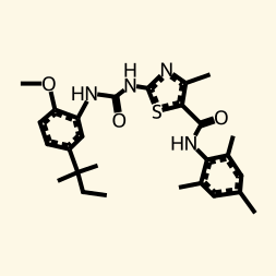 CCC(C)(C)c1ccc(OC)c(NC(=O)Nc2nc(C)c(C(=O)Nc3c(C)cc(C)cc3C)s2)c1